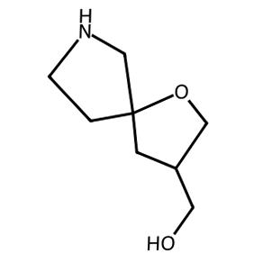 OCC1COC2(CCNC2)C1